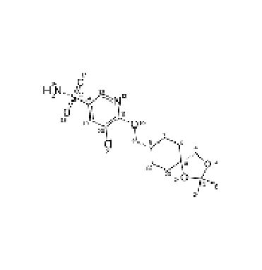 CC1(C)OC[C@]2(CC[C@@H](COc3ncc(S(N)(=O)=O)cc3Cl)CC2)O1